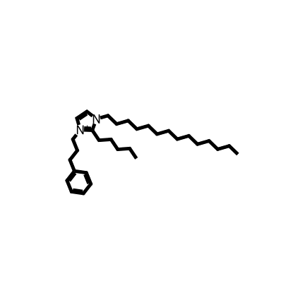 CCCCCCCCCCCCCCn1cc[n+](CCCc2ccccc2)c1CCCCC